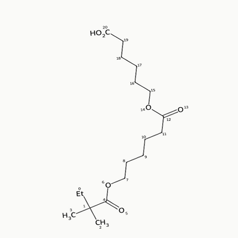 CCC(C)(C)C(=O)OCCCCCC(=O)OCCCCCC(=O)O